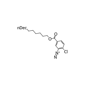 CCCCCCCCCCCCCCCCOC(=O)c1ccc(Cl)c([N+]#N)c1